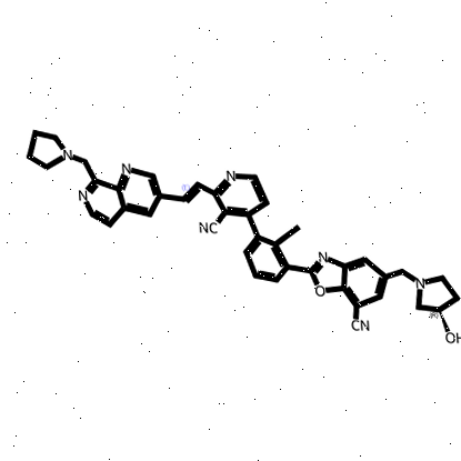 Cc1c(-c2nc3cc(CN4CC[C@@H](O)C4)cc(C#N)c3o2)cccc1-c1ccnc(/C=C/c2cnc3c(CN4CCCC4)nccc3c2)c1C#N